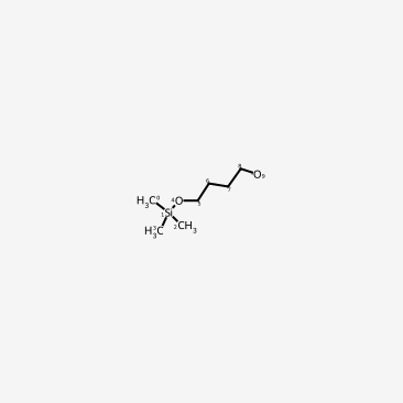 C[Si](C)(C)OCCCC[O]